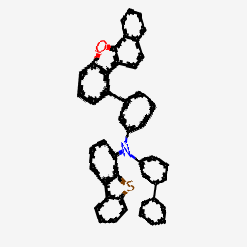 c1ccc(-c2cccc(N(c3cccc(-c4cccc5oc6c7ccccc7ccc6c45)c3)c3cccc4c3sc3ccccc34)c2)cc1